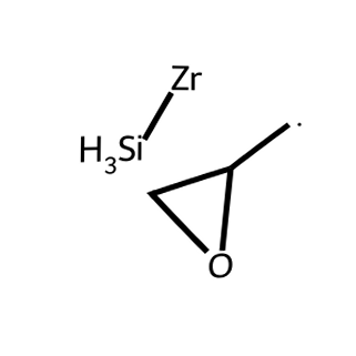 [CH2]C1CO1.[SiH3][Zr]